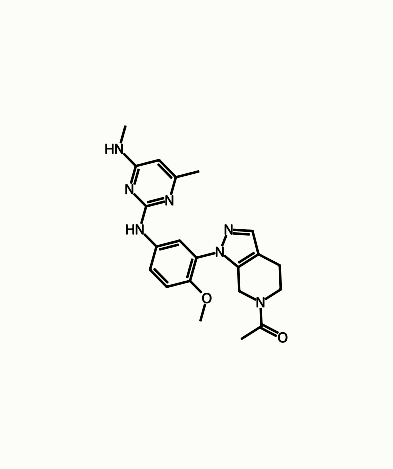 CNc1cc(C)nc(Nc2ccc(OC)c(-n3ncc4c3CN(C(C)=O)CC4)c2)n1